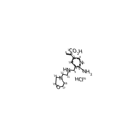 C=C(C(=O)O)c1cnc(N)c(CNCCN2CCOCC2)c1.Cl